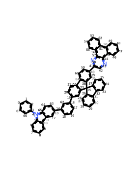 c1ccc(-n2c3ccccc3c3cc(-c4cccc(-c5ccc6c(c5)C5(c7ccccc7-c7ccccc75)c5cc(-c7cnc8c9ccccc9c9ccccc9c8n7)ccc5-6)c4)ccc32)cc1